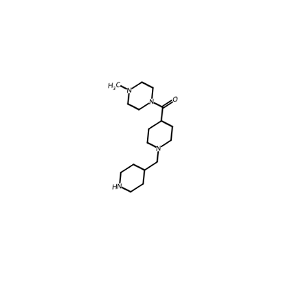 CN1CCN(C(=O)C2CCN(CC3CCNCC3)CC2)CC1